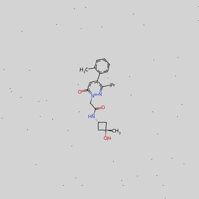 Cc1ccccc1-c1cc(=O)n(CC(=O)N[C@H]2C[C@@](C)(O)C2)nc1C(C)C